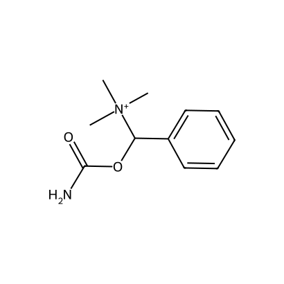 C[N+](C)(C)C(OC(N)=O)c1ccccc1